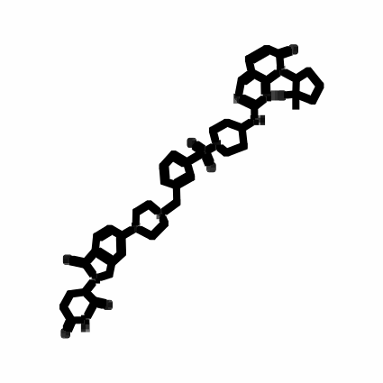 CC1(O)CCCC1n1c(=O)ccc2cnc(NC3CCN(S(=O)(=O)c4cccc(CN5CCN(c6ccc7c(c6)CN(C6CCC(=O)NC6=O)C7=O)CC5)c4)CC3)nc21